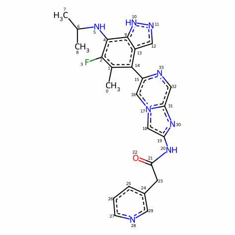 Cc1c(F)c(NC(C)C)c2[nH]ncc2c1-c1cn2cc(NC(=O)Cc3cccnc3)nc2cn1